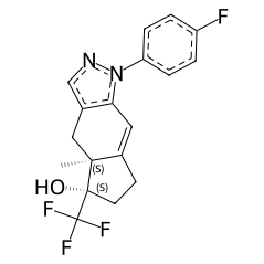 C[C@]12Cc3cnn(-c4ccc(F)cc4)c3C=C1CC[C@@]2(O)C(F)(F)F